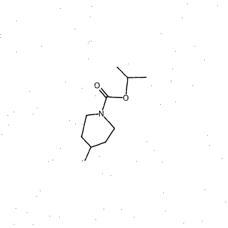 [CH2]C1CCN(C(=O)OC(C)C)CC1